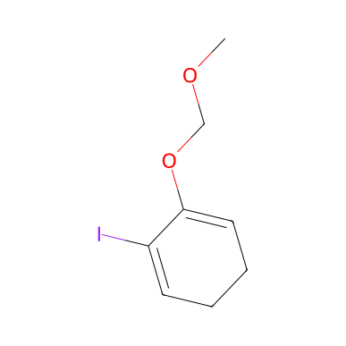 COCOC1=CCCC=C1I